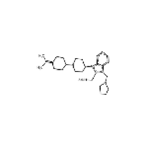 CC(=O)NCc1c(CN2CCCC2)c2ccccc2n1C1CCN(C2CCC(=C(C)C)CC2)CC1